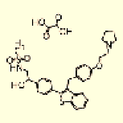 CS(=O)(=O)NCC(O)c1ccc(-c2sc3ccccc3c2Cc2ccc(OCCN3CCCC3)cc2)cc1.O=C(O)C(=O)O